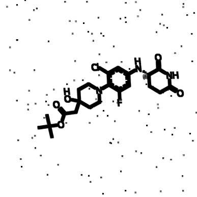 CC(C)(C)OC(=O)CC1(O)CCN(c2c(F)cc(N[C@H]3CCC(=O)NC3=O)cc2Cl)CC1